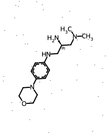 CN(C)C[C@H](N)CNc1ccc(N2CCOCC2)cc1